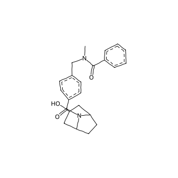 CN(Cc1ccc(C(=O)N2C3CCC2CC(O)C3)cc1)C(=O)c1ccccc1